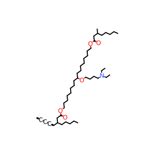 C=C=C=C=CC(CCCCC)CC(=O)OCCCCCCCCC(CCCCCCCCOC(=O)CC(C)CCCCC)OCCCCN(CC)CC